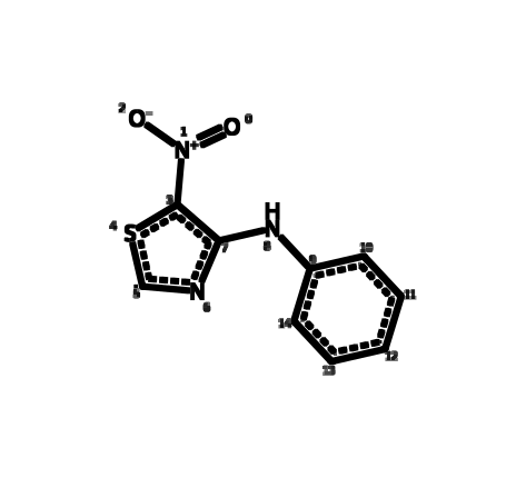 O=[N+]([O-])c1s[c]nc1Nc1ccccc1